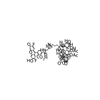 CC(=O)O[C@H]1C2C([C@@H](O)[C@H](NC(=O)CCCn3cc(CNC(=O)c4ccc(-c5c6cc(F)c(=O)cc-6oc6cc(O)c(F)cc56)c(C(=O)O)c4)nn3)[C@H]3C[C@@H]4O[C@@H]4[C@H](O)[C@]23C)[C@@H]2[C@@H](O)[C@@H]3[C@H]([C@H](C)[C@H]4O[C@]45OC(=O)[C@@](C)(O)[C@]35C)[C@@]2(C)[C@H]1OC(C)=O